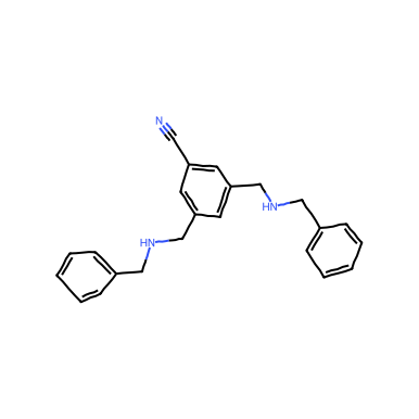 N#Cc1cc(CNCc2ccccc2)cc(CNCc2ccccc2)c1